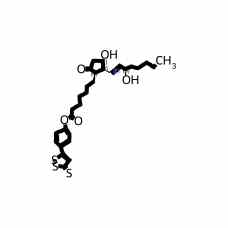 CCCCC[C@H](O)/C=C/[C@H]1[C@H](O)CC(=O)[C@@H]1CCCCCCC(=O)Oc1ccc(-c2cc(=S)ss2)cc1